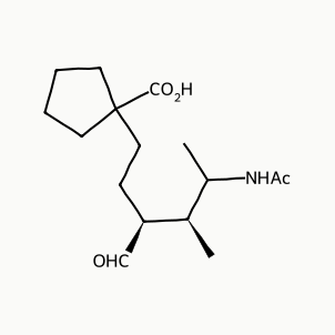 CC(=O)NC(C)[C@@H](C)[C@@H](C=O)CCC1(C(=O)O)CCCC1